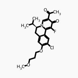 COCCCOc1cc2c(cc1Cl)-c1c(F)c(=O)c(C(C)=O)cn1[C@H](C(C)C)C2